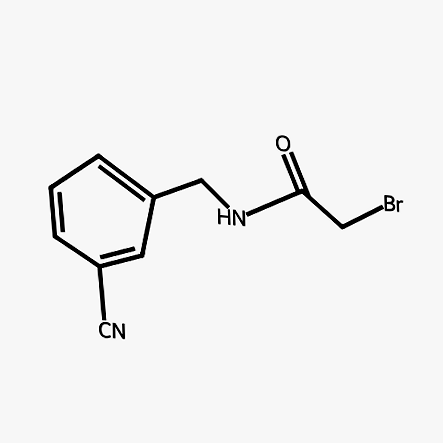 N#Cc1cccc(CNC(=O)CBr)c1